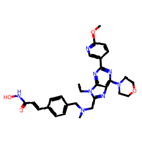 CCn1c(CN(C)Cc2ccc(C=CC(=O)NO)cc2)nc2c(N3CCOCC3)nc(-c3ccc(OC)nc3)nc21